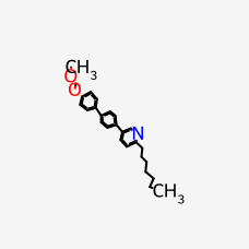 CCCCCCCc1ccc(-c2ccc(-c3ccc(OCOC)cc3)cc2)cn1